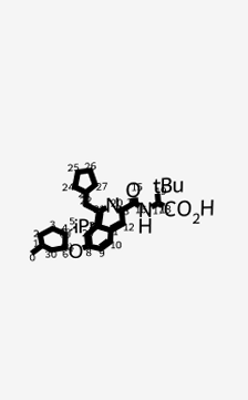 CC1CC[C@H](C(C)C)[C@H](Oc2ccc3cc(C(=O)NC(C(=O)O)C(C)(C)C)nc(CC4CCCC4)c3c2)C1